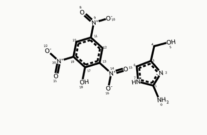 Nc1nc(CO)c[nH]1.O=[N+]([O-])c1cc([N+](=O)[O-])c(O)c([N+](=O)[O-])c1